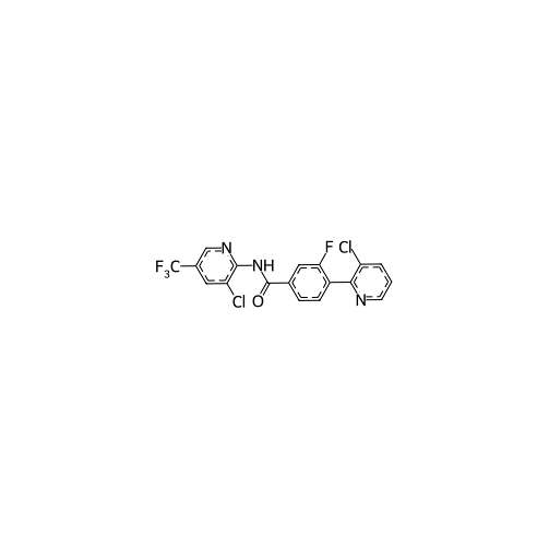 O=C(Nc1ncc(C(F)(F)F)cc1Cl)c1ccc(-c2ncccc2Cl)c(F)c1